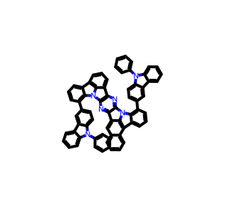 c1ccc(-n2c3ccccc3c3cc(-c4cccc5c6cccc7c8nc9c(nc8n(c45)c67)c4cc5ccccc5c5c6cccc(-c7ccc8c(c7)c7ccccc7n8-c7ccccc7)c6n9c45)ccc32)cc1